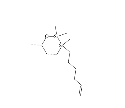 C=CCCCC[Si]1(C)CCC(C)O[Si]1(C)C